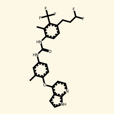 Cc1cc(NC(=O)Nc2ccc(CCC(F)F)c(C(F)(F)F)c2C)ccc1Oc1ccnc2[nH]ccc12